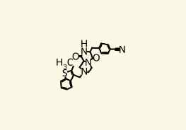 CCc1sc2ccccc2c1CN1CCN2C(=O)C(Cc3ccc(C#N)cc3)NC(=O)C2C1